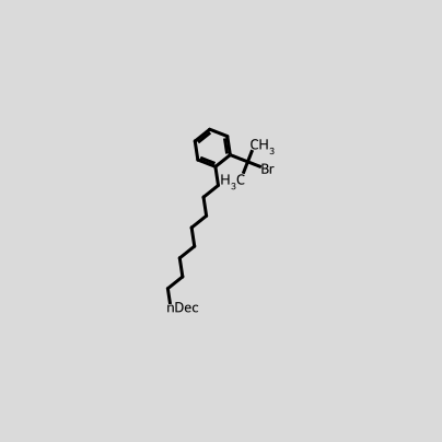 CCCCCCCCCCCCCCCCCCc1ccccc1C(C)(C)Br